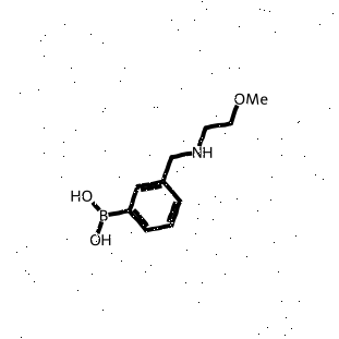 COCCNCc1cccc(B(O)O)c1